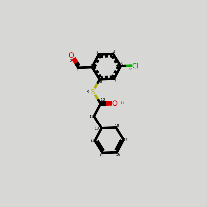 O=Cc1ccc(Cl)cc1SC(=O)CC1C=CC=CC1